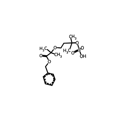 CC(C)(CCOC(C)(C)C(=O)OCc1ccccc1)OS(=O)(=O)O